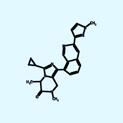 CC1C(=O)N(C)Cc2c(-c3cccc4cc(-c5ccn(C)n5)ncc34)nc(C3CC3)n21